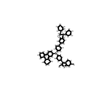 Cc1ccc2c(-c3ccc(N(c4ccc(-c5ccc6c(-c7ccccc7)c(-c7ccccc7)oc6c5)cc4)c4ccc5c6ccccc6c6ccccc6c5c4)cc3)c(C)sc2c1